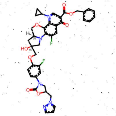 O=C(OCc1ccccc1)c1cn(C2CC2)c2c3c(c(F)cc2c1=O)N1C[C@](O)(COc2ccc(N4CC(Cn5cccn5)OC4=O)cc2F)C[C@H]1CO3